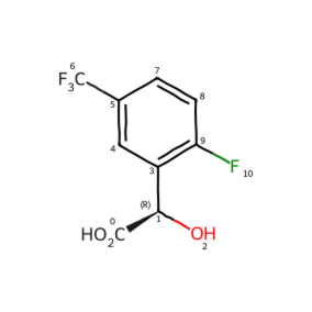 O=C(O)[C@H](O)c1cc(C(F)(F)F)ccc1F